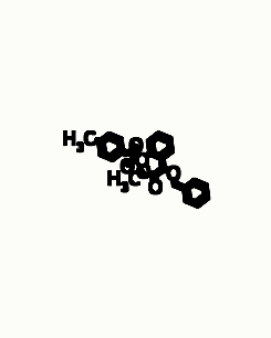 COC(=O)C(OCc1ccccc1)c1ccccc1OS(=O)(=O)c1ccc(C)cc1